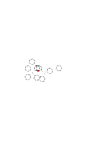 c1ccc(-c2ccc(N(c3ccc(-c4ccccc4)cc3)c3cccc4ccc5c(c34)-c3ccccc3C5(c3ccccc3)c3ccccc3)cc2)cc1